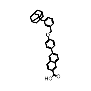 O=C(O)c1ccc2cc(-c3ccc(OCc4cccc(C56CC7CC(CC(C7)C5)C6)c4)cc3)ccc2c1